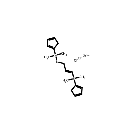 C[Si](C)(C=CC[N-][Si](C)(C)C1=CC=CC1)C1=CC=CC1.[Cl-].[Cl-].[Zr+3]